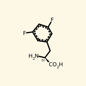 N[C@@H](Cc1cc(F)cc(F)c1)C(=O)O